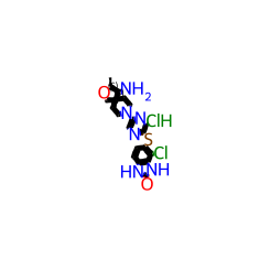 C[C@@H]1OCC2(CCN(c3cnc(Sc4ccc5[nH]c(=O)[nH]c5c4Cl)cn3)CC2)[C@@H]1N.Cl